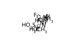 CC1(C)C2CC[C@@]1(CS(=O)(=O)O)C(=O)C2.C[C@H](c1ncncc1F)[C@@](O)(Cn1cncn1)c1ccc(F)cc1F